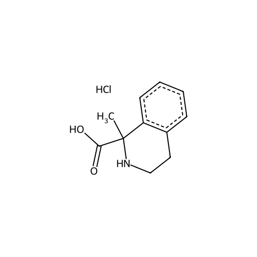 CC1(C(=O)O)NCCc2ccccc21.Cl